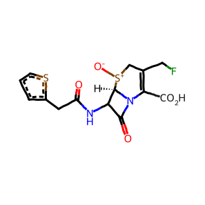 O=C(Cc1cccs1)NC1C(=O)N2C(C(=O)O)=C(CF)C[S+]([O-])[C@H]12